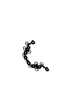 CC(C)(c1ccc(Oc2ccc(N3C(=O)c4ccc(C(=O)C#Cc5ccccc5)cc4C3=O)cc2)cc1)c1ccc(Oc2ccc(N3C(=O)c4ccc(C(=O)C#Cc5ccccc5)cc4C3=O)cc2)cc1